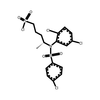 C[C@H](CCCS(=O)(=O)Cl)N(c1cc(Cl)ccc1Cl)S(=O)(=O)c1ccc(Cl)cc1